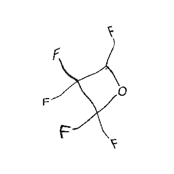 F[C]1OC(F)(F)C1(F)F